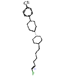 N#Cc1ccc(C2CCC([C@H]3CC[C@H](CCCC/C=C/F)CC3)CC2)cc1